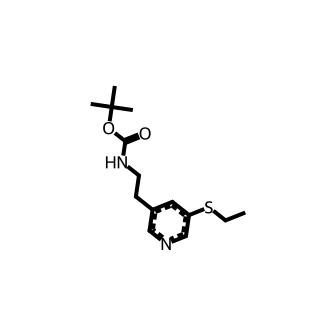 CCSc1cncc(CCNC(=O)OC(C)(C)C)c1